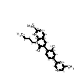 C=CCCn1c(=O)c(-c2ccc(-c3cncc(C)n3)cc2Cl)cc2cnc(SC)nc21